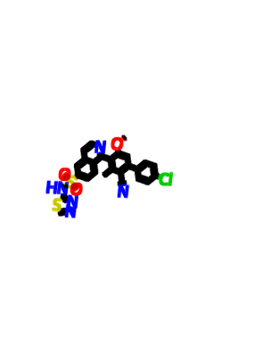 COc1cc(-c2ccc(Cl)cc2)c(C#N)c(C)c1-c1nccc2cc(S(=O)(=O)Nc3nncs3)ccc12